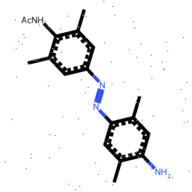 CC(=O)Nc1c(C)cc(N=Nc2cc(C)c(N)cc2C)cc1C